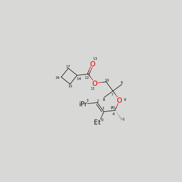 CCC(=CC(C)C)[C@@H](C)OC(C)(C)COC(=O)C1CCC1